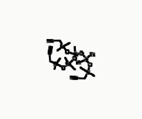 C#CC[Si](C)(C)O[Si](C)(C)O[Si](C)(O[Si](C)(C)CC#C)O[Si](CC)(CC)O[Si](C)(C)CC#C